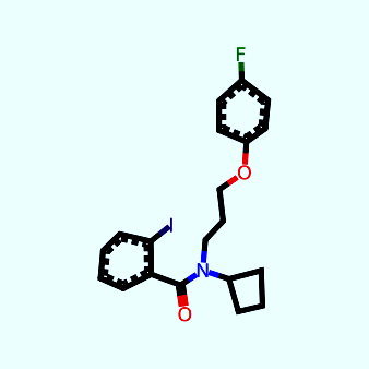 O=C(c1ccccc1I)N(CCCOc1ccc(F)cc1)C1CCC1